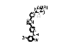 CC(C)(C)OC(=O)NC(=NC(=O)O)N1CCC(c2nc(-c3ccc(Nc4cc(Br)ccc4Br)nc3)no2)C1